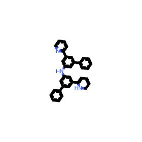 C1=CCNC(c2cc(Nc3cc(-c4ccccc4)cc(-c4ccccn4)c3)cc(-c3ccccc3)c2)=C1